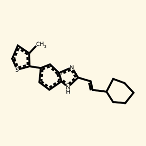 Cc1ccsc1-c1ccc2[nH]c(/C=C/C3CCCCC3)nc2c1